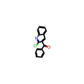 O=C(c1ccccc1)c1cc2ccccc2nc1Cl